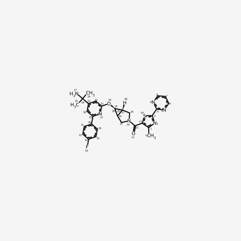 Cc1nc(-c2ncccn2)sc1C(=O)N1CC2[C@@H](C1)[C@@H]2Oc1cc(C(C)(C)N)cc(-c2ccc(F)cc2)n1